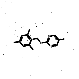 Cc1cc(C)c(COc2ncc(F)cn2)c(C)c1